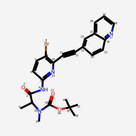 CC(C(=O)Nc1ccc(Br)c(C#Cc2ccc3ncccc3c2)n1)N(C)C(=O)OC(C)(C)C